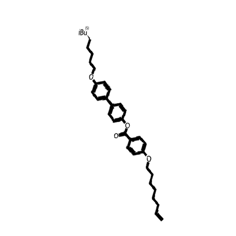 C=CCCCCCCOc1ccc(C(=O)Oc2ccc(-c3ccc(OCCCCC[C@@H](C)CC)cc3)cc2)cc1